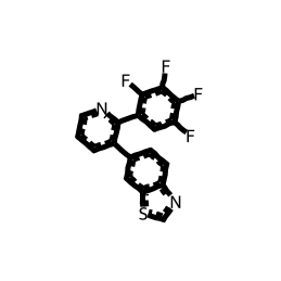 Fc1cc(-c2ncccc2-c2ccc3ncsc3c2)c(F)c(F)c1F